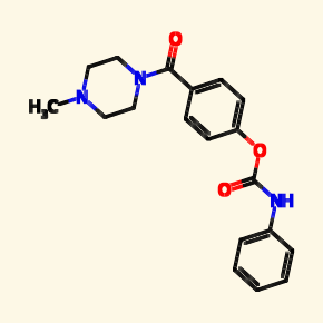 CN1CCN(C(=O)c2ccc(OC(=O)Nc3ccccc3)cc2)CC1